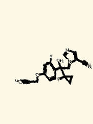 C#CCOc1ccc(C(O)(Cn2cncc2C#N)C2(F)CC2)c(F)c1